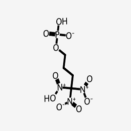 O=[N+]([O-])C(CCCOP(=O)([O-])O)([N+](=O)[O-])[N+](=O)O